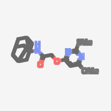 COc1cc(OCC(=O)NC23CC4CC(CC(C4)C2)C3)nc(SC)n1